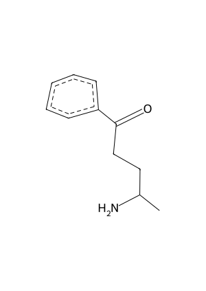 CC(N)CCC(=O)c1ccccc1